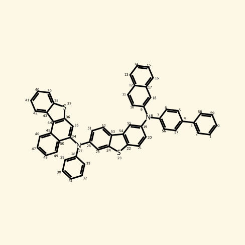 c1ccc(-c2ccc(N(c3ccc4ccccc4c3)c3ccc4sc5cc(N(c6ccccc6)c6cc7sc8ccccc8c7c7ccccc67)ccc5c4c3)cc2)cc1